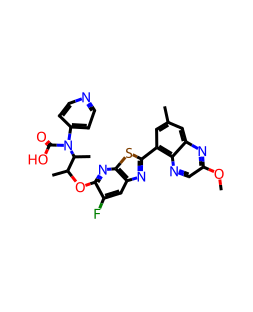 COc1cnc2c(-c3nc4cc(F)c(OC(C)C(C)N(C(=O)O)c5ccncc5)nc4s3)cc(C)cc2n1